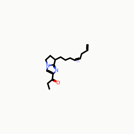 C=CC/C=C\CCCC1CCn2cc(C(=O)CC)nc21